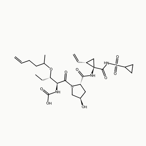 C=CCCC(C)O[C@@H](CC)[C@H](NC(=O)O)C(=O)N1C[C@H](O)C[C@H]1C(=O)N[C@]1(C(=O)NS(=O)(=O)C2CC2)C[C@H]1C=C